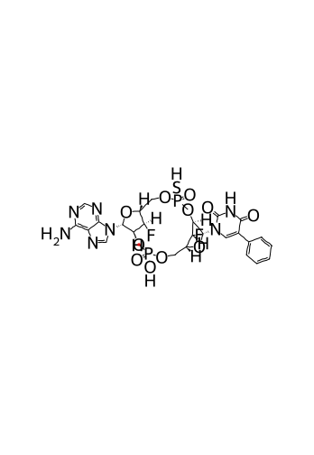 Nc1ncnc2c1ncn2[C@@H]1O[C@@H]2COP(=O)(S)O[C@@H]3[C@H](F)[C@@H](COP(=O)(O)O[C@@H]1[C@@H]2F)O[C@H]3n1cc(-c2ccccc2)c(=O)[nH]c1=O